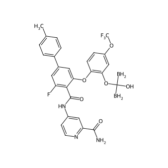 BC(B)(O)Oc1cc(OC(F)(F)F)ccc1Oc1cc(-c2ccc(C)cc2)cc(F)c1C(=O)Nc1ccnc(C(N)=O)c1